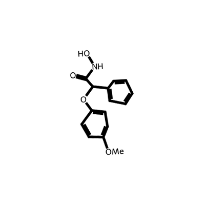 COc1ccc(OC(C(=O)NO)c2ccccc2)cc1